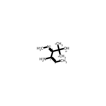 C/C=C(N)\C(=N/C)C(C)(C)O